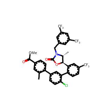 COC(=O)c1ccc(-c2ccc(Cl)c(-c3ccc(C(F)(F)F)cc3[C@H]3OC(=O)N(Cc4cc(C(F)(F)F)cc(C(F)(F)F)c4)[C@@H]3C)c2)c(C)c1